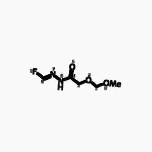 COCOCC(=O)NN=CF